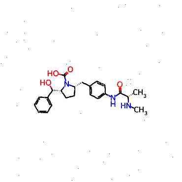 CN[C@@H](C)C(=O)Nc1ccc(C[C@@H]2CC[C@H](C(O)c3ccccc3)N2C(=O)O)cc1